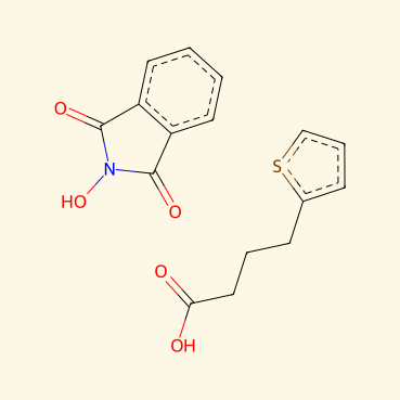 O=C(O)CCCc1cccs1.O=C1c2ccccc2C(=O)N1O